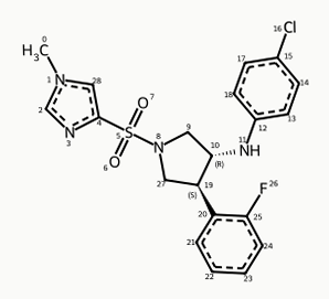 Cn1cnc(S(=O)(=O)N2C[C@H](Nc3ccc(Cl)cc3)[C@@H](c3ccccc3F)C2)c1